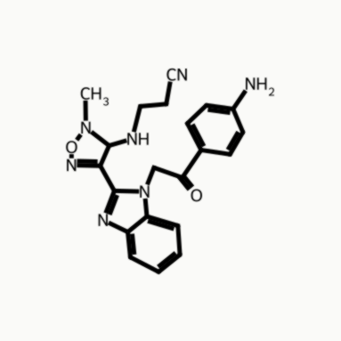 CN1ON=C(c2nc3ccccc3n2CC(=O)c2ccc(N)cc2)C1NCCC#N